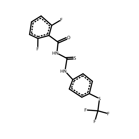 O=C(NC(=S)Nc1ccc(SC(F)(F)F)cc1)c1c(F)cccc1F